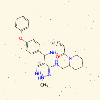 C=CC(=O)N1CCCCC1CNC(=NNC)/C(=C\N)C(N)c1ccc(Oc2ccccc2)cc1